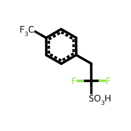 O=S(=O)(O)C(F)(F)Cc1ccc(C(F)(F)F)cc1